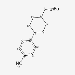 CCC(C)CC1CCC(c2ccc(C#N)cc2)CC1